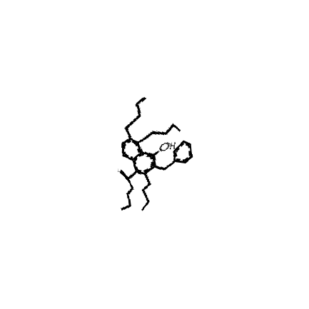 [C]=C(CCCC)c1c(CCCC)c(Cc2ccccc2)c(O)c2c(CCCC)c(CCCC)ccc12